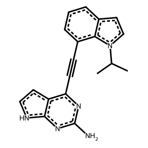 CC(C)n1ccc2cccc(C#Cc3nc(N)nc4[nH]ccc34)c21